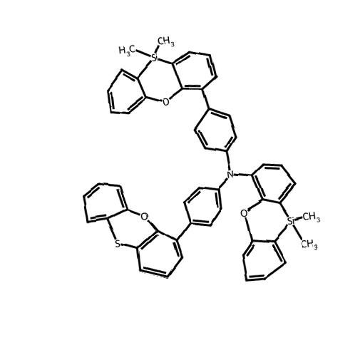 C[Si]1(C)c2ccccc2Oc2c(-c3ccc(N(c4ccc(-c5cccc6c5Oc5ccccc5S6)cc4)c4cccc5c4Oc4ccccc4[Si]5(C)C)cc3)cccc21